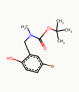 CN(Cc1cc(Br)ccc1O)C(=O)OC(C)(C)C